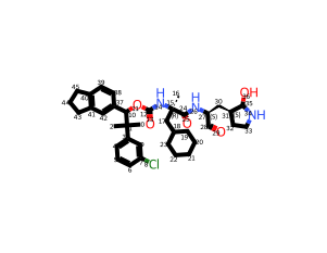 CC(C)(c1cccc(Cl)c1)C(OC(=O)N[C@](C)(CC1CCCCC1)C(=O)N[C@H](C=O)C[C@@H]1CCNC1O)c1ccc2c(c1)CCC2